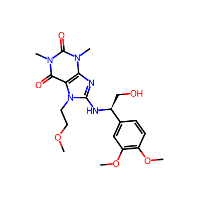 COCCn1c(N[C@@H](CO)c2ccc(OC)c(OC)c2)nc2c1c(=O)n(C)c(=O)n2C